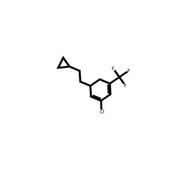 FC(F)(F)C1=CC(Cl)=CC(CCC2CC2)C1